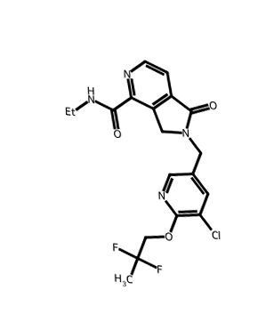 CCNC(=O)c1nccc2c1CN(Cc1cnc(OCC(C)(F)F)c(Cl)c1)C2=O